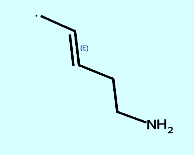 [CH2]/C=C/CCN